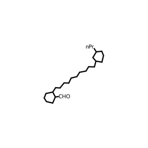 CCCC1CCCC(CCCCCCCCCCC2CCCCC2C=O)C1